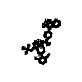 O=C(N[C@@H]1CC[C@@H](c2c(F)cccc2F)Cn2c(CC(F)(F)F)cnc21)N1CCC(n2c(=O)[nH]c3ncccc32)CC1